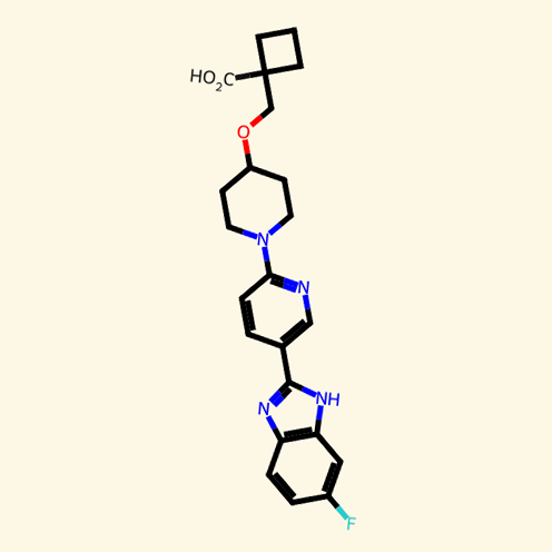 O=C(O)C1(COC2CCN(c3ccc(-c4nc5ccc(F)cc5[nH]4)cn3)CC2)CCC1